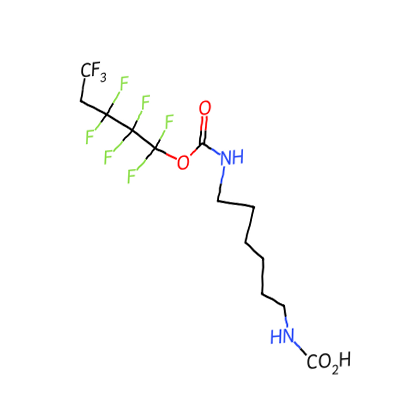 O=C(O)NCCCCCCNC(=O)OC(F)(F)C(F)(F)C(F)(F)CC(F)(F)F